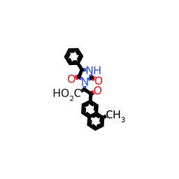 Cc1cccc2ccc(C(=O)C(C(=O)O)N3C(=O)NC(c4ccccc4)C3=O)cc12